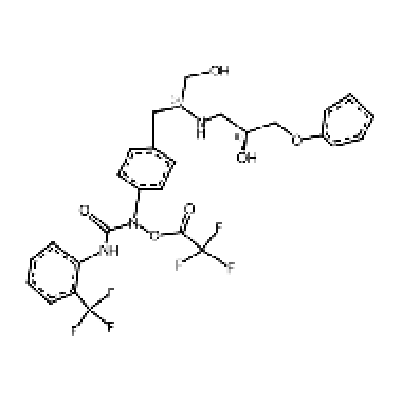 O=C(Nc1ccccc1C(F)(F)F)N(OC(=O)C(F)(F)F)c1ccc(C[C@@H](CO)NC[C@H](O)COc2ccccc2)cc1